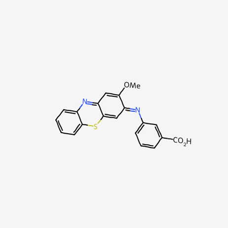 COc1cc2nc3ccccc3sc-2cc1=Nc1cccc(C(=O)O)c1